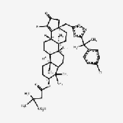 CC(C)C1=C2[C@H]3CC[C@@H]4[C@@]5(C)CC[C@H](OC(=O)CC(C)(C)C(=O)O)C(C)(C)C5CC[C@@]4(C)[C@]3(C)CC[C@@]2(Cc2nnc(C(C)(C)c3ccc(Cl)cc3)o2)CC1=O